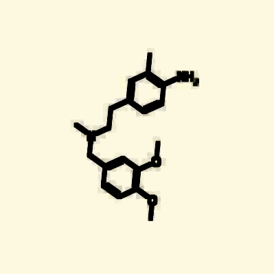 COc1ccc(CN(C)CCc2ccc(N)c(C)c2)cc1OC